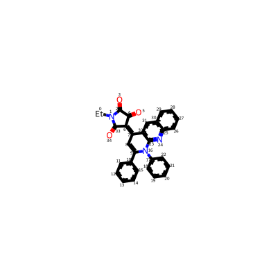 CCN1C(=O)C(=O)/C(=C2/C=C(c3ccccc3)N(c3ccccc3)c3nc4ccccc4cc32)C1=O